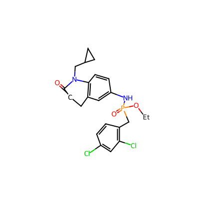 CCOP(=O)(Cc1ccc(Cl)cc1Cl)Nc1ccc2c(c1)CCC(=O)N2CC1CC1